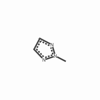 Cn1n[c]cn1